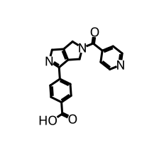 O=C(O)c1ccc(C2=NCC3=C2CN(C(=O)c2ccncc2)C3)cc1